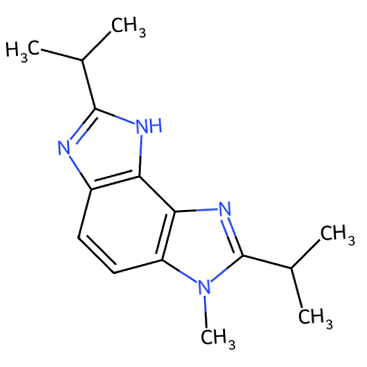 CC(C)c1nc2ccc3c(nc(C(C)C)n3C)c2[nH]1